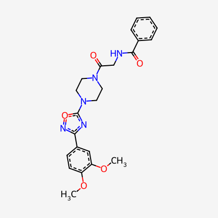 COc1ccc(-c2noc(N3CCN(C(=O)CNC(=O)c4ccccc4)CC3)n2)cc1OC